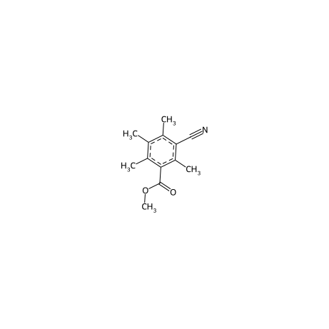 COC(=O)c1c(C)c(C)c(C)c(C#N)c1C